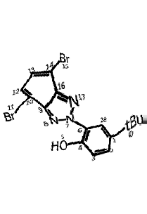 CC(C)(C)c1ccc(O)c(-n2nc3c(Br)ccc(Br)c3n2)c1